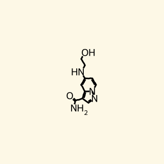 NC(=O)c1cnn2ccc(NCCO)cc12